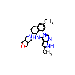 Cc1ccc2c(c1)CCC(N1CC3COCC3C1)C2Nc1ncnc2[nH]c(C)cc12